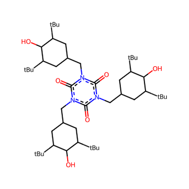 CC(C)(C)C1CC(Cn2c(=O)n(CC3CC(C(C)(C)C)C(O)C(C(C)(C)C)C3)c(=O)n(CC3CC(C(C)(C)C)C(O)C(C(C)(C)C)C3)c2=O)CC(C(C)(C)C)C1O